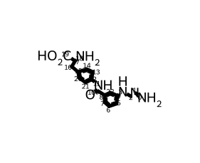 NN=CNc1cccc(C(=O)Nc2ccc(CC(N)C(=O)O)cc2)c1